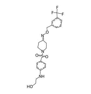 O=S(=O)(c1ccc(NCCO)cc1)N1CCC(=NOCc2cccc(C(F)(F)F)c2)CC1